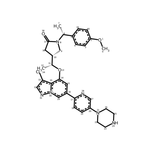 COc1ccc([C@@H](C)N2C[C@H]([C@@H](C)Oc3cc(-c4ccc(N5CCNCC5)cn4)cn4ncc(Cl)c34)CC2=O)cc1